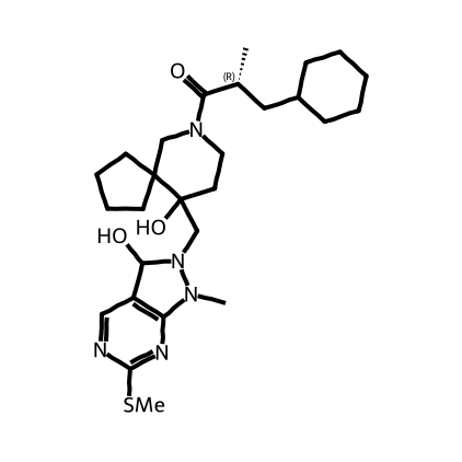 CSc1ncc2c(n1)N(C)N(CC1(O)CCN(C(=O)[C@H](C)CC3CCCCC3)CC13CCCC3)C2O